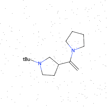 C=C(C1CCN(C(C)(C)C)C1)N1CCCC1